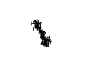 CCC(C)C(NC(=O)OC)C(=O)N1[C@@H](C)CC[C@H]1c1ncc(-c2ccc3c(c2)COc2cc4c(ccc5nc([C@@H]6C[C@H](COC)CN6C(=O)C(NC(=O)OC)C(C)OC)[nH]c54)cc2-3)[nH]1